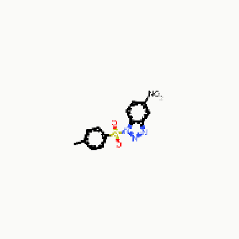 Cc1ccc(S(=O)(=O)n2nnc3cc([N+](=O)[O-])ccc32)cc1